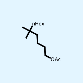 CCCCCCC(C)(C)CCCCOC(C)=O